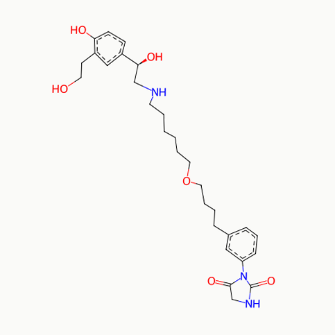 O=C1CNC(=O)N1c1cccc(CCCCOCCCCCCNC[C@H](O)c2ccc(O)c(CCO)c2)c1